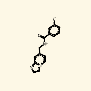 O=C(NCc1ccn2ccnc2c1)c1cc[c]c(F)c1